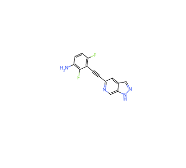 Nc1ccc(F)c(C#Cc2cc3cn[nH]c3cn2)c1F